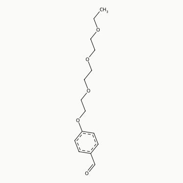 CCOCCOCCOCCOc1ccc(C=O)cc1